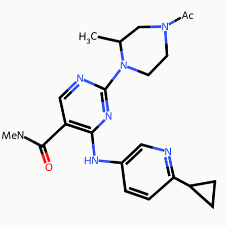 CNC(=O)c1cnc(N2CCN(C(C)=O)CC2C)nc1Nc1ccc(C2CC2)nc1